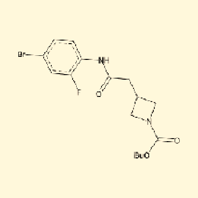 CC(C)COC(=O)N1CC(CC(=O)Nc2ccc(Br)cc2F)C1